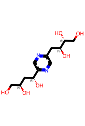 OC[C@H](O)C[C@@H](O)c1cnc(C[C@H](O)[C@H](O)CO)cn1